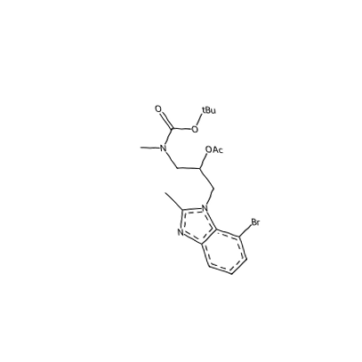 CC(=O)OC(CN(C)C(=O)OC(C)(C)C)Cn1c(C)nc2cccc(Br)c21